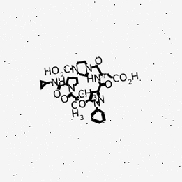 CC(C)(Oc1cc(C(=O)N[C@@H](CCC(=O)O)C(=O)N2CCN(C(=O)O)CC2)nn1-c1ccccc1)C(=O)N1CCC[C@@H]1C(=O)NC1CC1